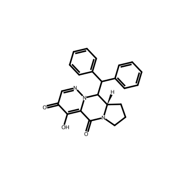 O=C1c2c(O)c(=O)cnn2C(C(c2ccccc2)c2ccccc2)[C@@H]2CCCN12